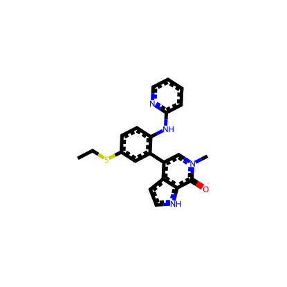 CCSc1ccc(Nc2ccccn2)c(-c2cn(C)c(=O)c3[nH]ccc23)c1